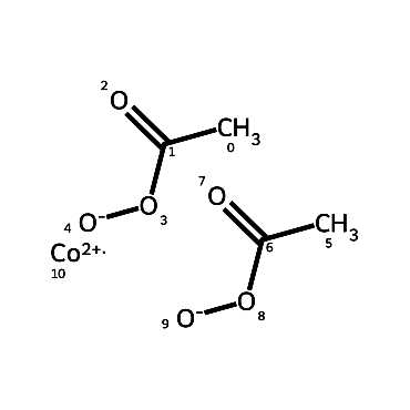 CC(=O)O[O-].CC(=O)O[O-].[Co+2]